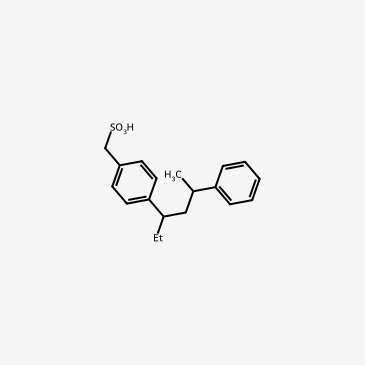 CCC(CC(C)c1ccccc1)c1ccc(CS(=O)(=O)O)cc1